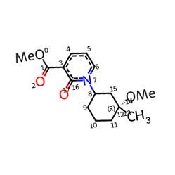 COC(=O)c1cccn(C2CCC[C@@](C)(OC)C2)c1=O